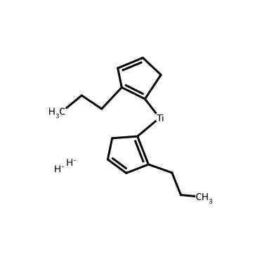 CCCC1=[C]([Ti][C]2=C(CCC)C=CC2)CC=C1.[H-].[H-]